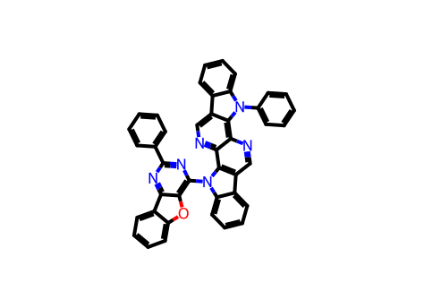 c1ccc(-c2nc(-n3c4ccccc4c4cnc5c(ncc6c7ccccc7n(-c7ccccc7)c65)c43)c3oc4ccccc4c3n2)cc1